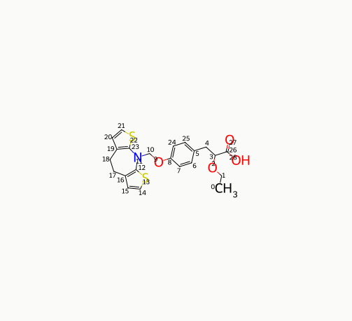 CCOC(Cc1ccc(OCN2c3sccc3CCc3ccsc32)cc1)C(=O)O